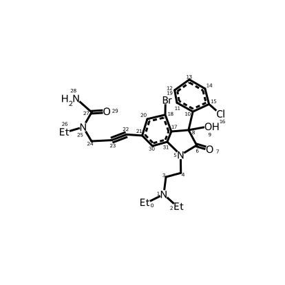 CCN(CC)CCN1C(=O)C(O)(c2ccccc2Cl)c2c(Br)cc(C#CCN(CC)C(N)=O)cc21